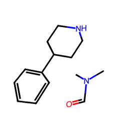 CN(C)C=O.c1ccc(C2CCNCC2)cc1